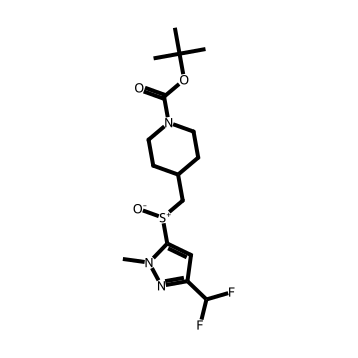 Cn1nc(C(F)F)cc1[S+]([O-])CC1CCN(C(=O)OC(C)(C)C)CC1